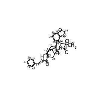 CC1(C)C(=O)N([C@@H]2C3CC4C[C@H]2C[C@@](C(=O)NCc2ccccc2)(C4)C3)C1c1cccc2c1OCO2